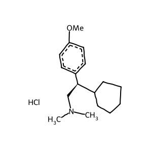 COc1ccc([C@H](CN(C)C)C2CCCCC2)cc1.Cl